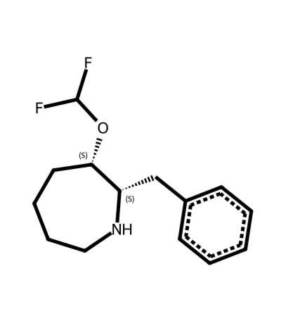 FC(F)O[C@H]1CCCCN[C@H]1Cc1ccccc1